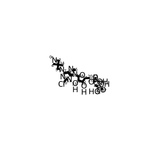 CN1CC2(C1)CN(c1nc(Cl)nc3c1ncn3C1OC(COP(=O)(O)CP(=O)(O)O)C(O)C1O)C2